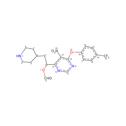 O=COC(CC1CCNCC1)c1ncnc(Oc2ccc(C(F)(F)F)cc2)c1[N+](=O)[O-]